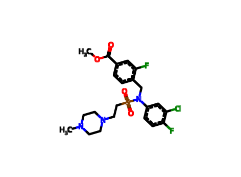 COC(=O)c1ccc(CN(c2ccc(F)c(Cl)c2)S(=O)(=O)CCN2CCN(C)CC2)c(F)c1